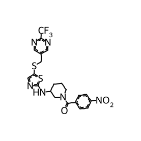 O=C(c1ccc([N+](=O)[O-])cc1)N1CCCC(Nc2ncc(SCc3cnc(C(F)(F)F)nc3)s2)C1